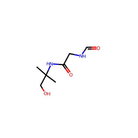 CC(C)(CO)NC(=O)CN[C]=O